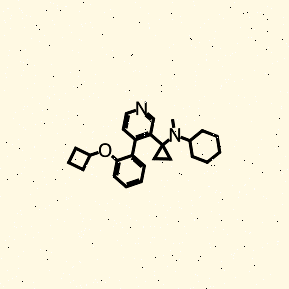 CN(C1CCCCC1)C1(c2cnccc2-c2ccccc2OC2CCC2)CC1